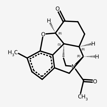 CC(=O)N1CC[C@]23c4c5ccc(C)c4O[C@H]2C(=O)CC[C@H]3[C@H]1C5